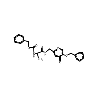 CC(NC(=O)OCc1ccccc1)C(=O)NCc1cc(=O)c(OCc2ccccc2)co1